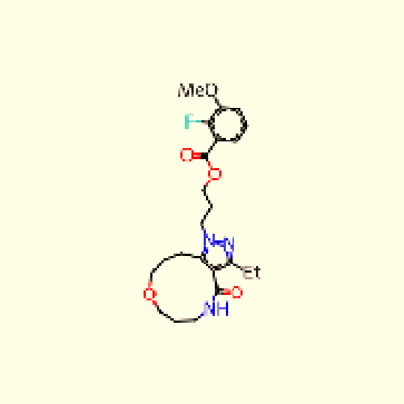 CCc1nn(CCCOC(=O)c2cccc(OC)c2F)c2c1C(=O)NCCCOCCC2